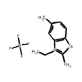 CC[n+]1c(C)[te]c2ccc(C)cc21.F[B-](F)(F)F